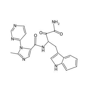 Cc1ncc(C(=O)NC(Cc2c[nH]c3ccccc23)C(=O)C(N)=O)n1-c1ccncn1